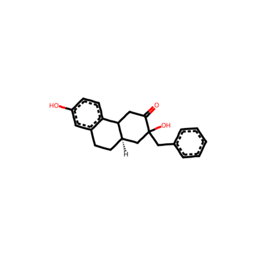 O=C1CC2c3ccc(O)cc3CC[C@@H]2CC1(O)Cc1ccccc1